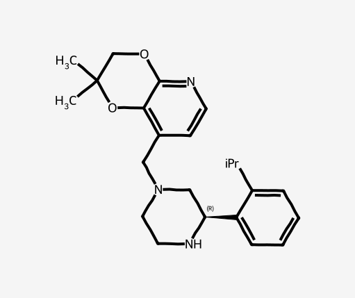 CC(C)c1ccccc1[C@@H]1CN(Cc2ccnc3c2OC(C)(C)CO3)CCN1